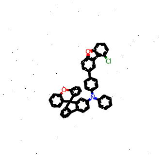 Clc1cccc2oc3ccc(-c4ccc(N(c5ccccc5)c5ccc6c(c5)C5(c7ccccc7Oc7ccccc75)c5ccccc5-6)cc4)cc3c12